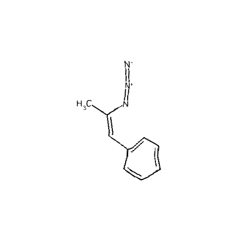 CC(=Cc1ccccc1)N=[N+]=[N-]